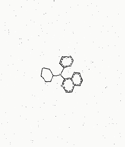 c1ccc(N(c2nccc3ccccc23)C2CCCCC2)cc1